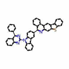 c1ccc(-c2nc(-n3c4ccccc4c4cc(-c5nc6cc7sc8ccccc8c7cc6c6ccccc56)ccc43)nc3ccccc23)cc1